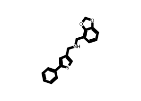 c1ccc(-c2cc(CNCc3cccc4c3OCO4)cs2)cc1